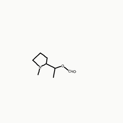 CC(O[C]=O)C1CCCN1C